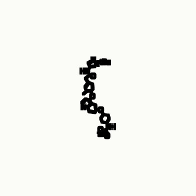 Cc1cc(CC(=O)Nc2cnn(C(C)(C)C)c2)ccc1Oc1ccnc2ccc(OC3CCC(NC(=O)OC(C)(C)C)CC3)cc12